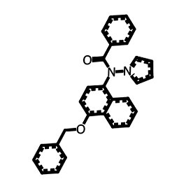 O=C(c1ccccc1)N(c1ccc(OCc2ccccc2)c2ccccc12)n1cccc1